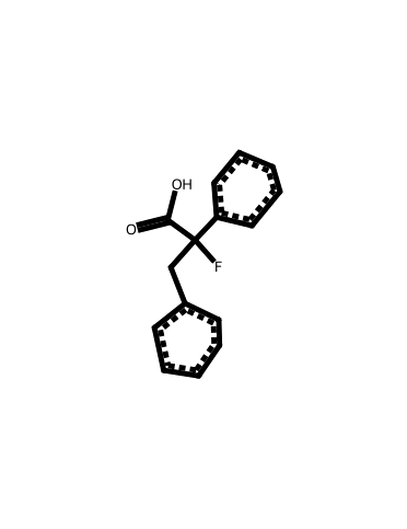 O=C(O)C(F)(Cc1ccccc1)c1ccccc1